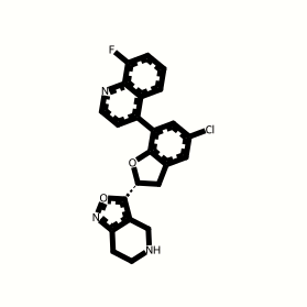 Fc1cccc2c(-c3cc(Cl)cc4c3O[C@@H](c3onc5c3CNCC5)C4)ccnc12